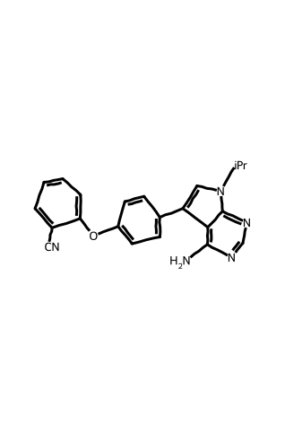 CC(C)n1cc(-c2ccc(Oc3ccccc3C#N)cc2)c2c(N)ncnc21